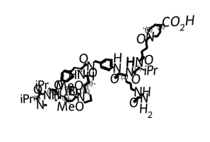 CC[C@H](C)[C@@H]([C@@H](CC(=O)N1CCC[C@H]1[C@H](OC)[C@@H](C)C(=O)N[C@@H](Cc1ccccc1)C(=O)NCc1ccc(NC(=O)[C@H](CCCNC(N)=O)NC(=O)[C@@H](NC(=O)CCC(=O)N2CC[C@@H](C(=O)O)C[C@H]2C)C(C)C)cc1)OC)N(C)C(=O)[C@@H](NC(=O)[C@H](C(C)C)N(C)C)C(C)C